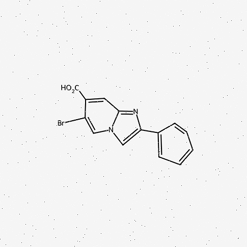 O=C(O)c1cc2nc(-c3ccccc3)cn2cc1Br